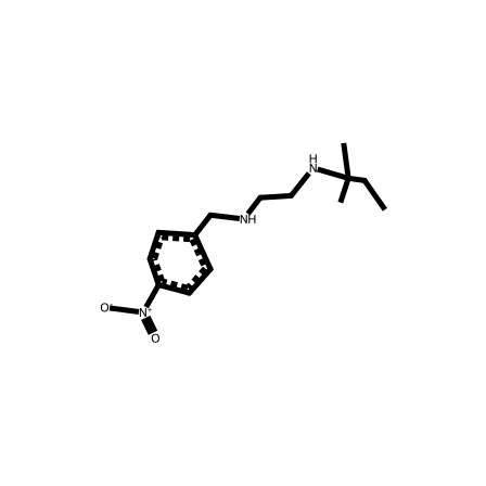 CCC(C)(C)NCCNCc1ccc([N+](=O)[O-])cc1